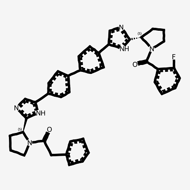 O=C(Cc1ccccc1)N1CCC[C@H]1c1ncc(-c2ccc(-c3ccc(-c4cnc([C@@H]5CCCN5C(=O)c5ccccc5F)[nH]4)cc3)cc2)[nH]1